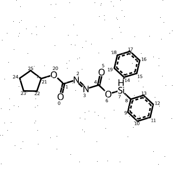 O=C(N=NC(=O)O[SiH](c1ccccc1)c1ccccc1)OC1CCCC1